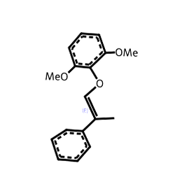 COc1cccc(OC)c1O/C=C(\C)c1ccccc1